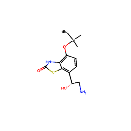 CC(C)(C)[Si](C)(C)Oc1ccc([C@@H](O)CN)c2sc(=O)[nH]c12